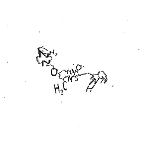 Cc1cc(OCCN2CCN(C)CC2)ccc1N=C1NC(=O)C(=Cc2c[nH]c3ncccc23)S1